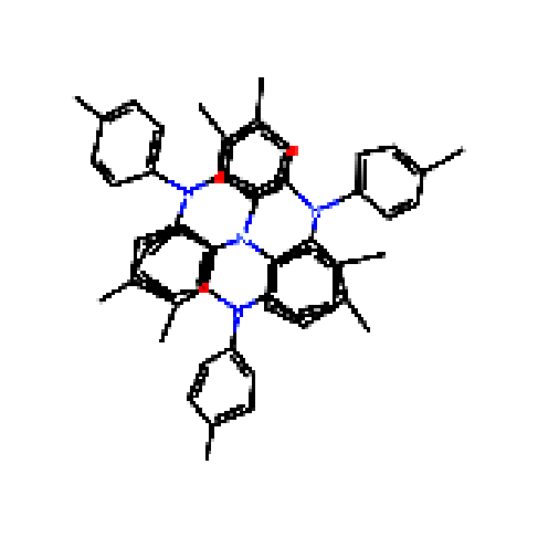 Cc1ccc(N(c2ccc(C)cc2)c2cc(C)ccc2N(c2ccc(C)cc2N(c2ccc(C)cc2)c2ccc(C)cc2)c2ccc(C)cc2N(c2ccc(C)cc2)c2ccc(C)cc2)cc1